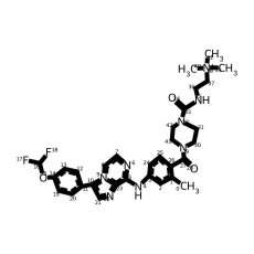 Cc1cc(Nc2nccn3c(-c4ccc(OC(F)F)cc4)cnc23)ccc1C(=O)N1CCN(C(=O)NCC[N+](C)(C)C)CC1